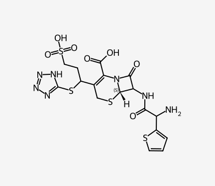 NC(C(=O)NC1C(=O)N2C(C(=O)O)=C(C(CCS(=O)(=O)O)Sc3nnn[nH]3)CS[C@@H]12)c1cccs1